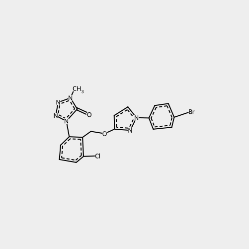 Cn1nnn(-c2cccc(Cl)c2COc2ccn(-c3ccc(Br)cc3)n2)c1=O